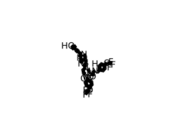 CC(C)(O)C#Cc1ncc2sc(N3CCN(S(=O)(=O)c4ccc(OC(F)(F)F)cc4)[C@@H](C(=O)NCc4ccc(OC(F)(F)F)cc4)C3)nc2n1